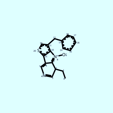 CCC1C=NC=C2C1=[N+]([O-])c1c(Cc3ccccc3)csc12